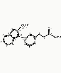 COC(=O)CCc1cccc(-c2c(C(=O)O)sc3ccccc23)c1